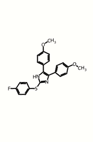 COc1ccc(-c2nc(Sc3ccc(F)cc3)[nH]c2-c2ccc(OC)cc2)cc1